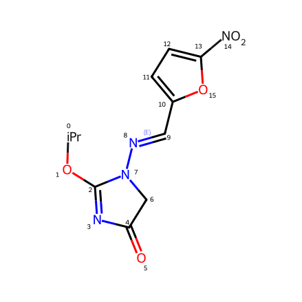 CC(C)OC1=NC(=O)CN1/N=C/c1ccc([N+](=O)[O-])o1